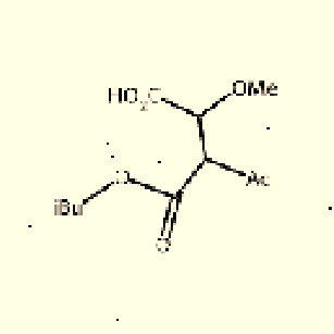 CCC(C)OC(=O)C(C(C)=O)C(OC)C(=O)O